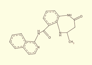 CC1CC(=O)Nc2cccc(C(=O)Nc3nccc4ccccc34)c2N1